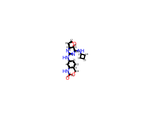 O=C1Nc2cc(Nc3nc(NC4CCC4)c4occc4n3)ccc2CO1